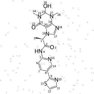 C[C@H](C(=O)Nc1ccc(-c2nccs2)cn1)n1cnc2c1C(=O)N(C)C(O)N2C